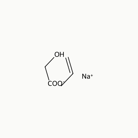 C=CC.O=C([O-])CO.[Na+]